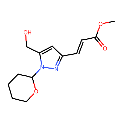 COC(=O)/C=C/c1cc(CO)n(C2CCCCO2)n1